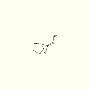 O/N=C1/SC2C=CC1C2